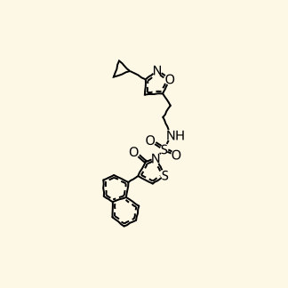 O=c1c(-c2cccc3ccccc23)csn1S(=O)(=O)NCCc1cc(C2CC2)no1